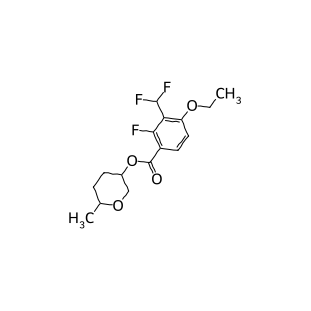 CCOc1ccc(C(=O)OC2CCC(C)OC2)c(F)c1C(F)F